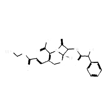 CCOC(=O)C=CC1=C(C(=O)O)N2C(=O)C(NC(=O)C(O)c3ccccc3)[C@@H]2SC1